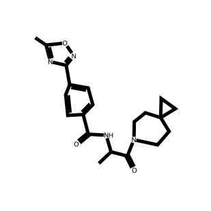 Cc1nc(-c2ccc(C(=O)NC(C)C(=O)N3CCC4(CC3)CC4)cc2)no1